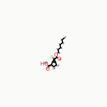 CCCCCCCOC(=O)C1(F)C2CCC(C(=O)O)C21